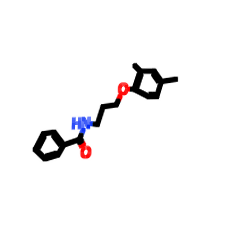 Cc1ccc(OCCCNC(=O)c2ccccc2)c(C)c1